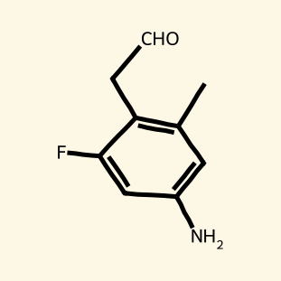 Cc1cc(N)cc(F)c1CC=O